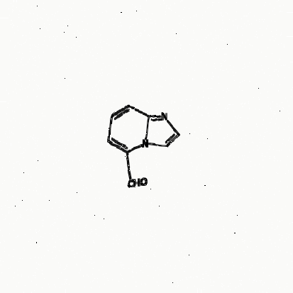 O=Cc1cccc2nccn12